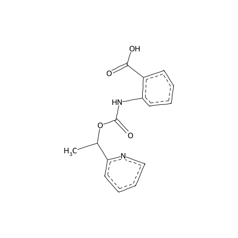 CC(OC(=O)Nc1ccccc1C(=O)O)c1ccccn1